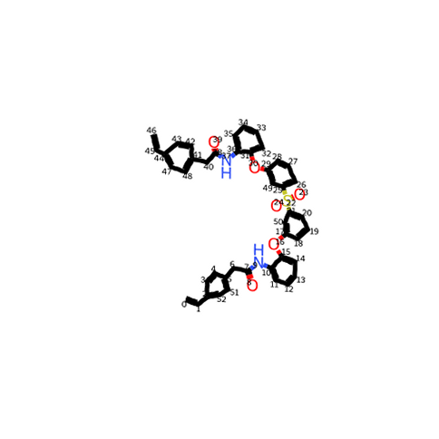 C=Cc1ccc(CC(=O)Nc2ccccc2Oc2cccc(S(=O)(=O)c3cccc(Oc4ccccc4NC(=O)Cc4ccc(C=C)cc4)c3)c2)cc1